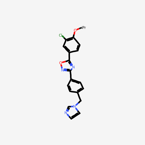 CC(C)Oc1ccc(-c2nc(-c3ccc(Cn4ccnc4)cc3)no2)cc1Cl